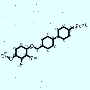 CCCCCC1CCC(C2CCC(COC3CCC(OCC)C(F)C3F)CC2)CC1